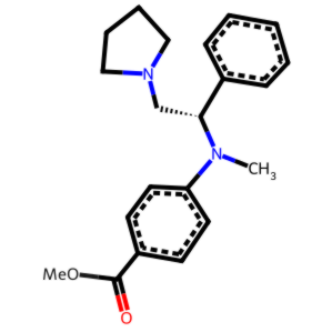 COC(=O)c1ccc(N(C)[C@H](CN2CCCC2)c2ccccc2)cc1